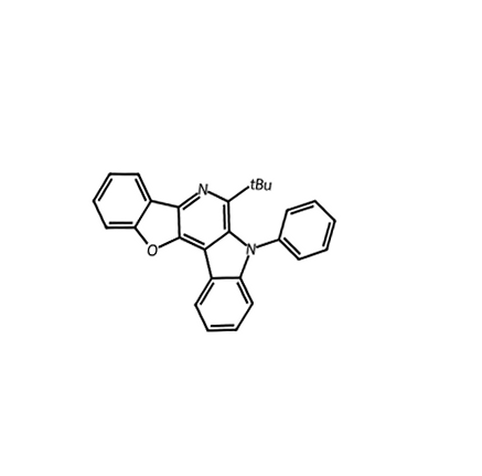 CC(C)(C)c1nc2c3ccccc3oc2c2c3ccccc3n(-c3ccccc3)c12